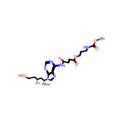 CO[C@H](C[C@@H](O)CCO)n1cnc2c(NC(=O)CCC(=O)OCCCNC(=O)OC(C)(C)C)ncnc21